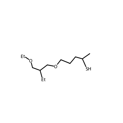 CCOCC(CC)COCCCC(C)S